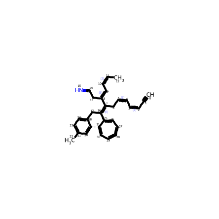 C#C/C=C\C=C/CC(/C(=C/C=C\C)CC=N)=C(/Cc1ccc(C)cc1)C1=CC=C=CC=C1